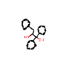 OC(Cc1ccccc1)C(O)(c1ccccc1)c1ccccc1